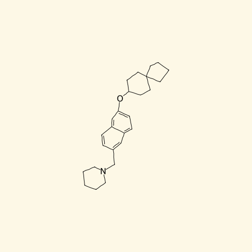 c1cc2cc(OC3CCC4(CCCC4)CC3)ccc2cc1CN1CCCCC1